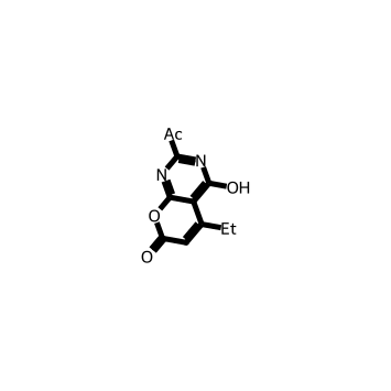 CCc1cc(=O)oc2nc(C(C)=O)nc(O)c12